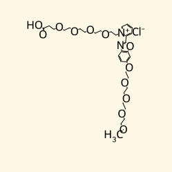 COCCOCCOCCOCCOc1ccc2nc(-c3cccc[n+]3CCOCCOCCOCCOCCC(=O)O)oc2c1.[Cl-]